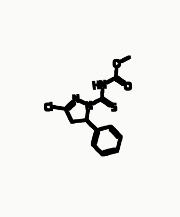 COC(=O)NC(=S)N1N=C(Cl)CC1c1ccccc1